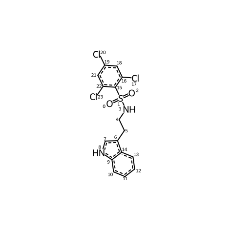 O=S(=O)(NCCc1c[nH]c2ccccc12)c1c(Cl)cc(Cl)cc1Cl